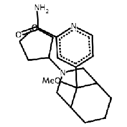 COC1(c2ccnc(C(N)=O)c2)C2CCCC1CN(C1CCOC1)C2